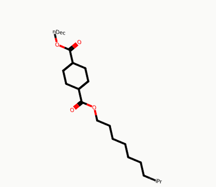 CCCCCCCCCCOC(=O)C1CCC(C(=O)OCCCCCCCC(C)C)CC1